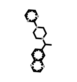 CC(c1ccc2nccnc2c1)N1CCN(c2ncccn2)CC1